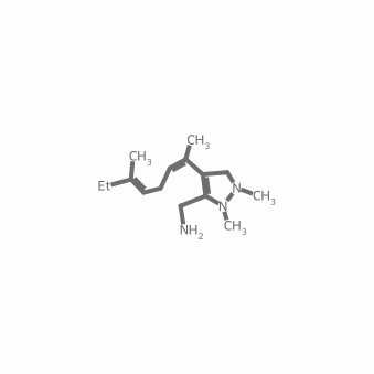 CC/C(C)=C/C/C=C(/C)C1=C(CN)N(C)N(C)C1